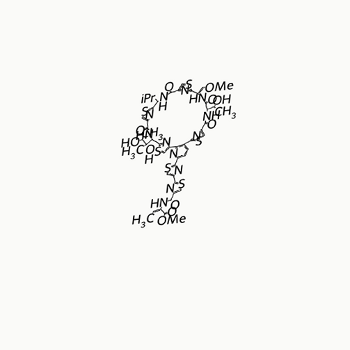 C/C=C(/NC(=O)c1csc(-c2csc(-c3ccc4c(n3)-c3csc(n3)C(C(C)(O)C(C)O)NC(=O)c3csc(n3)C(C(C)C)NC(=O)c3csc(n3)/C(=C/OC)NC(=O)C(C(C)O)NC(=O)c3csc-4n3)n2)n1)C(=O)OC